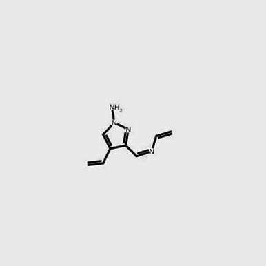 C=C/N=C\c1nn(N)cc1C=C